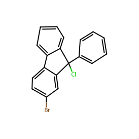 ClC1(c2ccccc2)c2ccccc2-c2ccc(Br)cc21